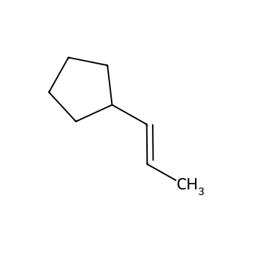 CC=CC1CCCC1